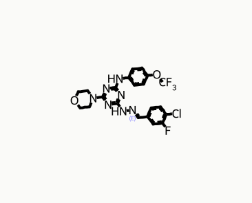 Fc1cc(/C=N/Nc2nc(Nc3ccc(OC(F)(F)F)cc3)nc(N3CCOCC3)n2)ccc1Cl